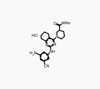 CNC(=O)C1CCCN(c2nc(Nc3cc(N)cc(C#N)c3)nc3c2CCCC3)C1.Cl